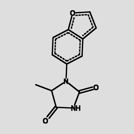 CC1C(=O)NC(=O)N1c1ccc2occc2c1